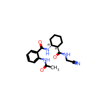 CC(=O)Nc1ccccc1C(=O)N[C@@H]1CCCC[C@H]1C(=O)NCC#N